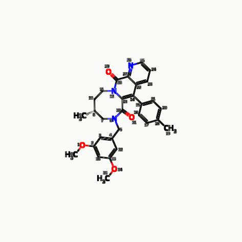 COc1cc(CN2C[C@H](C)CCn3c(c(-c4ccc(C)cc4)c4cccnc4c3=O)C2=O)cc(OC)c1